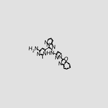 Cc1nc(N)cc(-c2c(Nc3ccn(-c4nc5ccccc5o4)n3)nc3cccnn23)n1